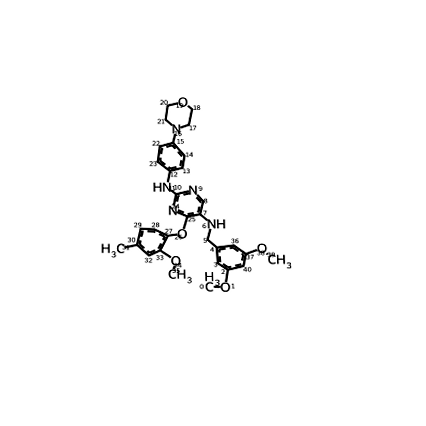 COc1cc(CNc2cnc(Nc3ccc(N4CCOCC4)cc3)nc2Oc2ccc(C)cc2OC)cc(OC)c1